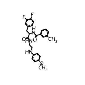 COc1ccc(NCCNC(=O)C(Cc2ccc(F)c(F)c2)NC(=O)c2cccc(C)c2)cc1